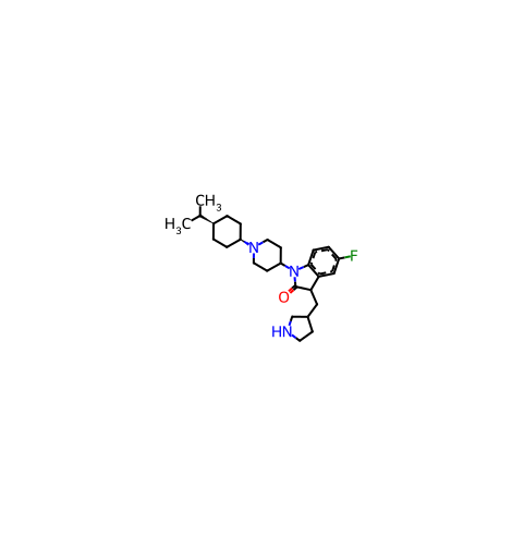 CC(C)[C@H]1CC[C@@H](N2CCC(N3C(=O)C(CC4CCNC4)c4cc(F)ccc43)CC2)CC1